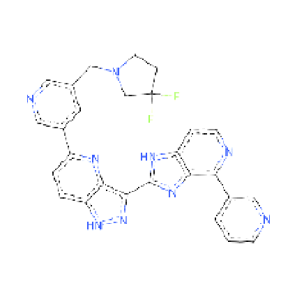 FC1(F)CCN(Cc2cncc(-c3ccc4[nH]nc(-c5nc6c(-c7cccnc7)nccc6[nH]5)c4n3)c2)C1